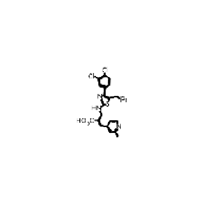 Cc1cc(CC(CNc2nc(-c3ccc(Cl)c(Cl)c3)c(CC(C)C)s2)C(=O)O)ccn1